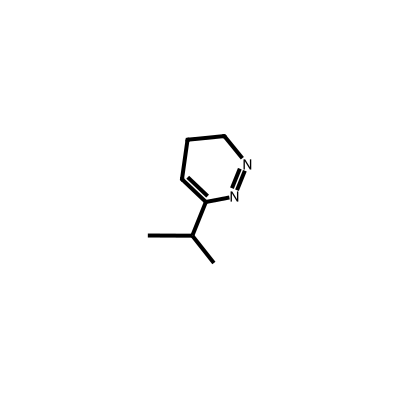 CC(C)C1=CCCN=N1